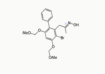 COCOc1cc(OCOC)c(-c2ccccc2)c(C/C(C)=N/O)c1Br